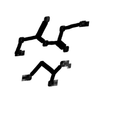 CC(C)(C)OC(=O)OC(=O)OC(C)(C)C.CC(O)CO